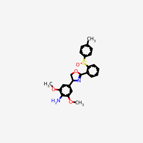 COc1cc(C2COC(c3ccccc3[S@@+]([O-])c3ccc(C)cc3)=N2)cc(OC)c1N